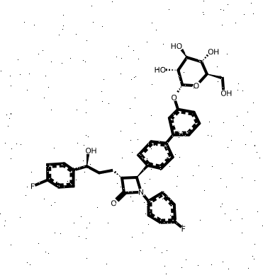 O=C1[C@H](CC[C@H](O)c2ccc(F)cc2)[C@@H](c2ccc(-c3cccc(O[C@H]4O[C@H](CO)[C@@H](O)[C@H](O)[C@H]4O)c3)cc2)N1c1ccc(F)cc1